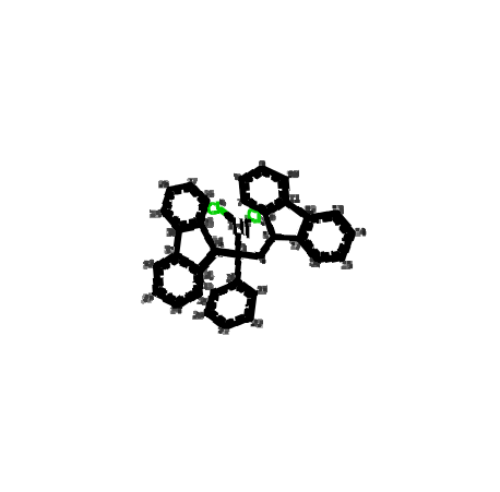 [Cl][Hf]([Cl])[C](CC1c2ccccc2-c2ccccc21)(c1ccccc1)C1c2ccccc2-c2ccccc21